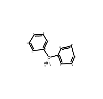 [AlH3].c1ccc(Oc2ccccc2)cc1